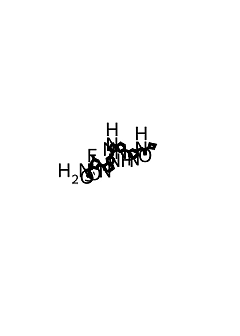 CS(=O)(=O)C(N)c1cc(F)cc(-c2nccc3[nH]c(-c4n[nH]c5ccc(-c6cncc(NC(=O)C7CCC7)c6)nc45)cc23)c1